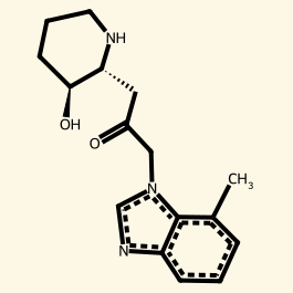 Cc1cccc2ncn(CC(=O)C[C@H]3NCCC[C@@H]3O)c12